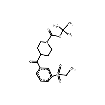 CCS(=O)(=O)c1cccc(C(=O)C2CCN(C(=O)OC(C)(C)C)CC2)c1